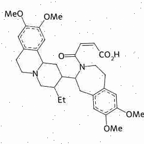 CCC1CN2CCc3cc(OC)c(OC)cc3C2CC1C1Cc2cc(OC)c(OC)cc2CCN1C(=O)/C=C\C(=O)O